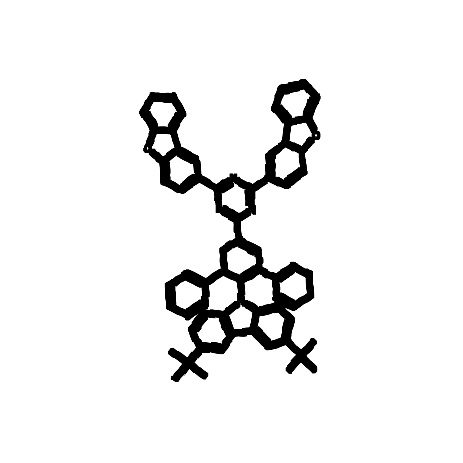 CC(C)(C)c1ccc2c(c1)c1cc(C(C)(C)C)ccc1n2C1=C(C2=CCCC=C2)C=C(c2nc(C3=CC4c5ccccc5OC4C=C3)nc(-c3ccc4oc5ccccc5c4c3)n2)CC1c1ccccc1